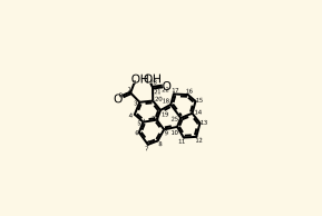 O=C(O)c1cc2cccc3c4cccc5cccc(c(c1C(=O)O)c23)c54